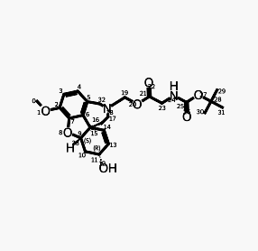 COc1ccc2c3c1O[C@H]1C[C@@H](O)C=C[C@@]31CCN(COC(=O)CNC(=O)OC(C)(C)C)C2